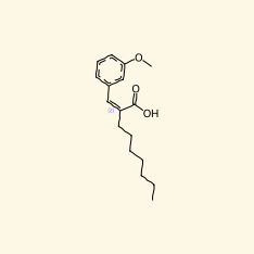 CCCCCCC/C(=C/c1cccc(OC)c1)C(=O)O